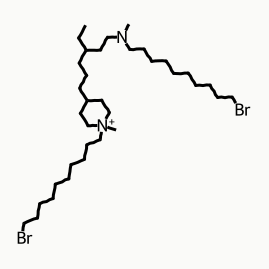 CCC(CCCC1CC[N+](C)(CCCCCCCCCCBr)CC1)CCN(C)CCCCCCCCCCBr